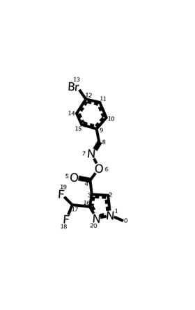 Cn1cc(C(=O)O/N=C/c2ccc(Br)cc2)c(C(F)F)n1